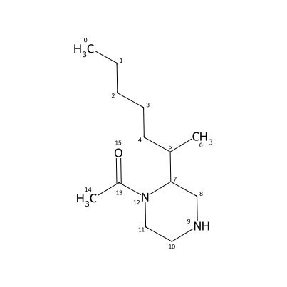 CCCCCC(C)C1CNCCN1C(C)=O